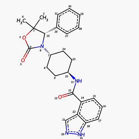 CC1(C)OC(=O)N([C@H]2CC[C@H](NC(=O)c3cccc4[nH]ncc34)CC2)[C@H]1c1ccccc1